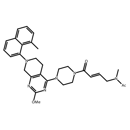 COc1nc2c(c(N3CCN(C(=O)/C=C/CN(C)C(C)=O)CC3)n1)CCN(c1cccc3cccc(C)c13)C2